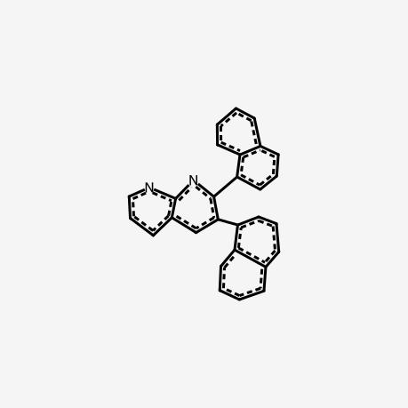 c1cnc2nc(-c3cccc4ccccc34)c(-c3cccc4ccccc34)cc2c1